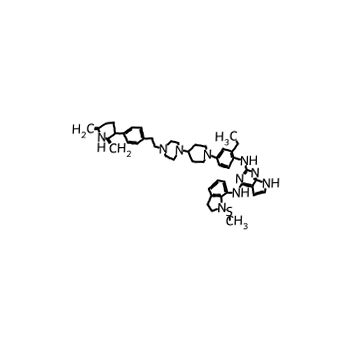 C=C1CCC(c2ccc(CCN3CCN(C4CCN(c5ccc(Nc6nc(Nc7cccc8c7N(SC)CC8)c7cc[nH]c7n6)c(CC)c5)CC4)CC3)cc2)C(=C)N1